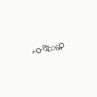 OC(CN1CC2CC(O)(Cc3ccccc3)CC2C1)c1ccc(F)cc1